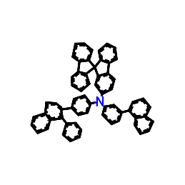 c1ccc(-c2c(-c3ccc(N(c4cccc(-c5cccc6ccccc56)c4)c4ccc5c(c4)C4(c6ccccc6-c6ccccc64)c4ccccc4-5)cc3)ccc3ccccc23)cc1